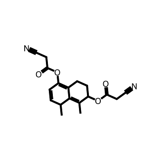 CC1=C2C(=C(OC(=O)CC#N)C=CC2C)CCC1OC(=O)CC#N